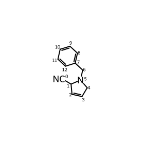 N#CC1C=CCN1Cc1ccccc1